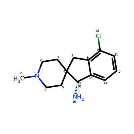 CN1CCC2(CC1)Cc1c(Cl)cccc1[C@@H]2N